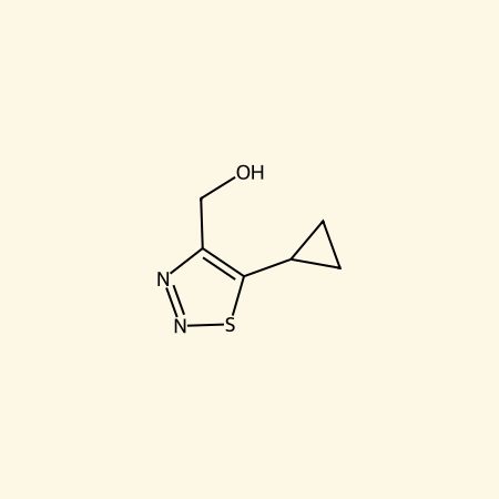 OCc1nnsc1C1CC1